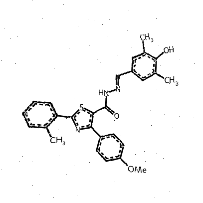 COc1ccc(-c2nc(-c3ccccc3C)sc2C(=O)N/N=C/c2cc(C)c(O)c(C)c2)cc1